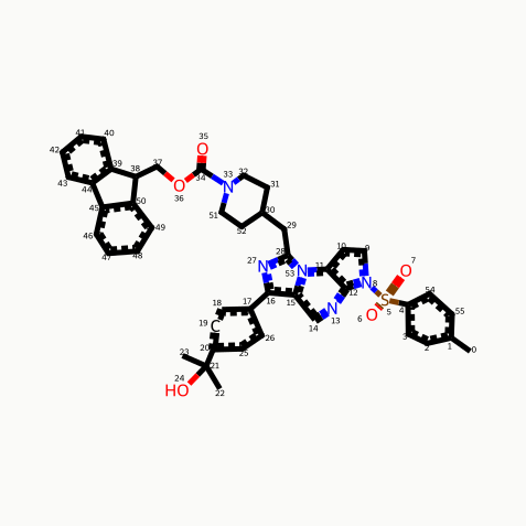 Cc1ccc(S(=O)(=O)n2ccc3c2ncc2c(-c4ccc(C(C)(C)O)cc4)nc(CC4CCN(C(=O)OCC5c6ccccc6-c6ccccc65)CC4)n23)cc1